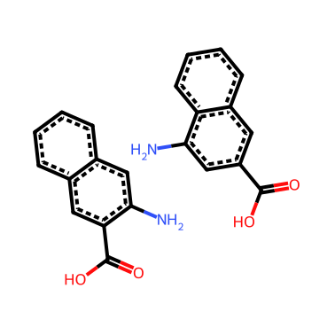 Nc1cc(C(=O)O)cc2ccccc12.Nc1cc2ccccc2cc1C(=O)O